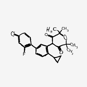 CC1(C)OC(C)(C)C(=O)C(c2cc(-c3ccc(Cl)cc3F)ccc2C2CC2)C1=O